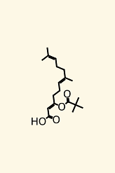 CC(C)=CCCC(C)=CCCC(=CC(=O)O)OC(=O)C(C)(C)C